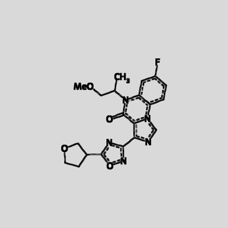 COCC(C)n1c(=O)c2c(-c3noc(C4CCOC4)n3)ncn2c2ccc(F)cc21